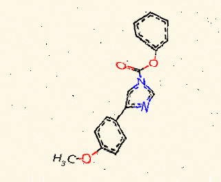 COc1ccc(-c2cn(C(=O)Oc3ccccc3)cn2)cc1